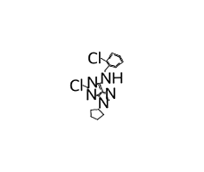 Clc1nc(NCc2ccccc2Cl)c2ncn(C3CCCC3)c2n1